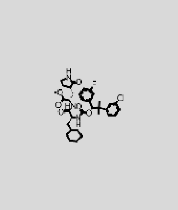 COC(=O)[C@H](C[C@@H]1CCNC1=O)NC(=O)[C@H](CC1CCCCC1)NC(=O)OC(c1cccc(F)c1)C(C)(C)c1cccc(Cl)c1